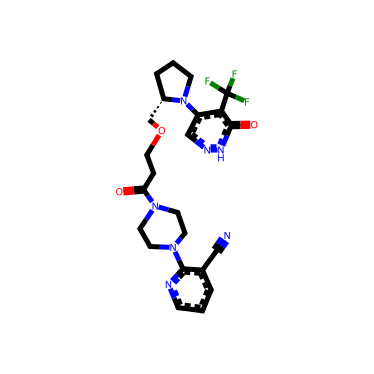 N#Cc1cccnc1N1CCN(C(=O)CCOC[C@@H]2CCCN2c2cn[nH]c(=O)c2C(F)(F)F)CC1